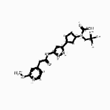 COc1cc(CC(=O)Nc2cc(C3CCC(N(CC(F)(F)F)C(=O)O)C3)[nH]n2)ccn1